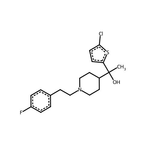 CC(O)(c1ccc(Cl)s1)C1CCN(CCc2ccc(F)cc2)CC1